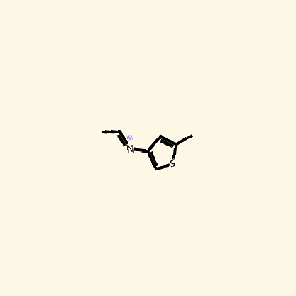 C/C=N/c1csc(C)c1